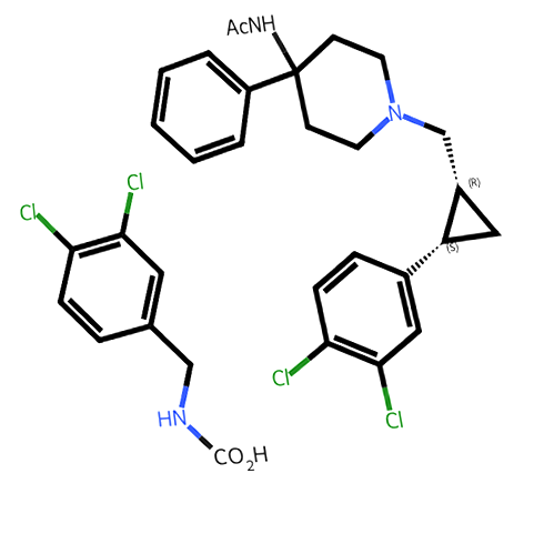 CC(=O)NC1(c2ccccc2)CCN(C[C@@H]2C[C@@H]2c2ccc(Cl)c(Cl)c2)CC1.O=C(O)NCc1ccc(Cl)c(Cl)c1